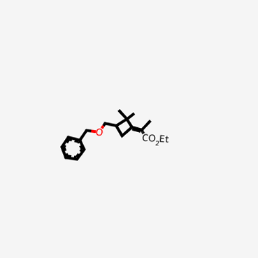 CCOC(=O)/C(C)=C1\CC(COCc2ccccc2)C1(C)C